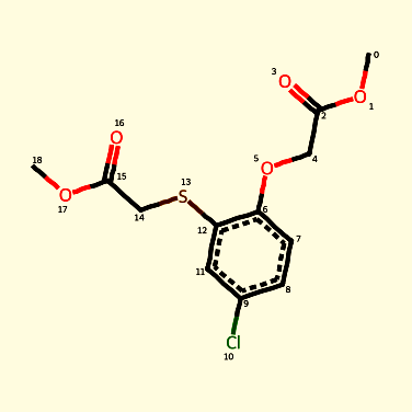 COC(=O)COc1ccc(Cl)cc1SCC(=O)OC